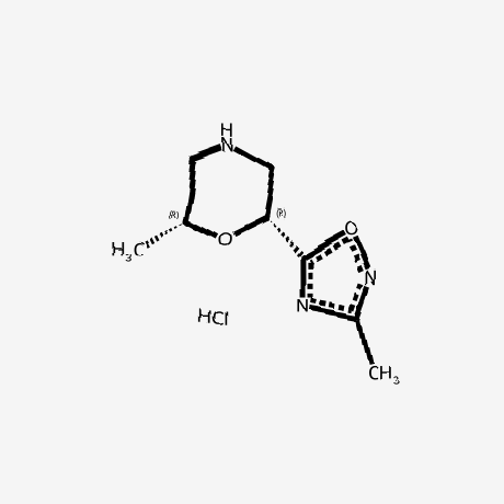 Cc1noc([C@H]2CNC[C@@H](C)O2)n1.Cl